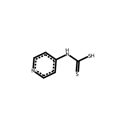 S=C(S)Nc1ccncc1